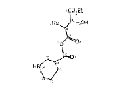 CCOC(=O)C(O)C(O)C(=O)OC(=O)C1CCCNC1